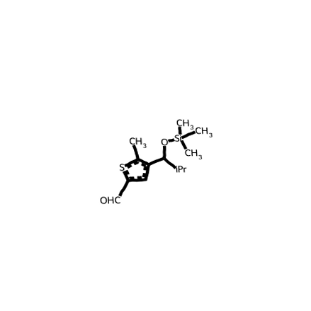 Cc1sc(C=O)cc1C(O[Si](C)(C)C)C(C)C